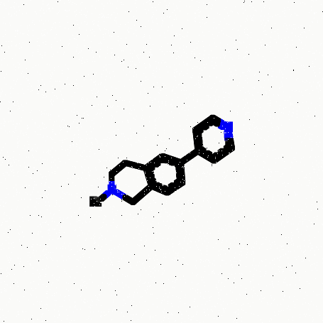 CCN1CCc2cc(-c3ccncc3)ccc2C1